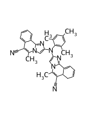 CC1=C(C#N)C2CC=CC=C2c2nc(N(c3cn4c(C)c(C#N)c5ccccc5c4n3)c3c(C)cc(C)cc3C)cn21